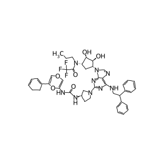 CCCN(C(=O)C(F)(F)F)[C@H]1C[C@@H](n2cnc3c(NCC(c4ccccc4)c4ccccc4)nc(N4CC[C@@H](NC(=O)NC5=COC=C(C6=CC=CCC6)O5)C4)nc32)[C@H](O)[C@@H]1O